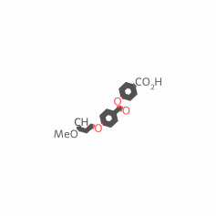 COC(C)CCOc1ccc(C(=O)Oc2ccc(C(=O)O)cc2)cc1